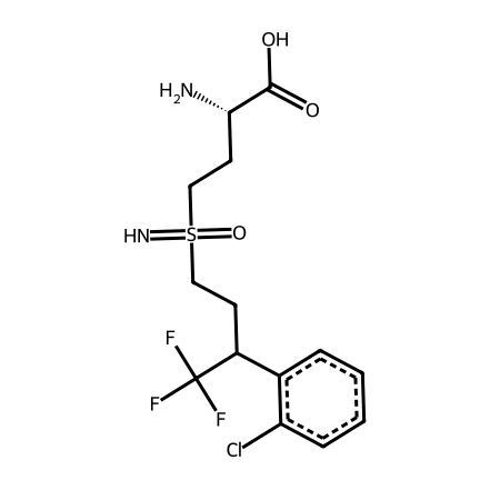 N=S(=O)(CCC(c1ccccc1Cl)C(F)(F)F)CC[C@H](N)C(=O)O